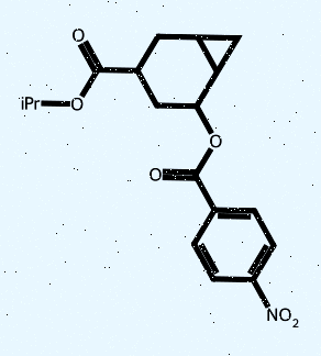 CC(C)OC(=O)C1CC2CC2C(OC(=O)c2ccc([N+](=O)[O-])cc2)C1